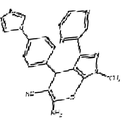 Cn1nc(-c2cnccn2)c2c1OC(N)=C(C#N)C2c1ccc(-n2ccnc2)cc1